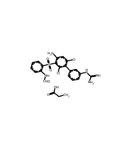 CCC(=O)O.N=C(N)Nc1cccc(-c2c(Cl)cc(N)c(S(=O)(=O)c3ccccc3NC=O)c2Cl)c1